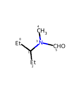 CCC(CC)N(C)C=O